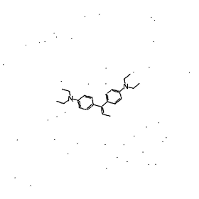 CC=C(c1ccc(N(CC)CC)cc1)c1ccc(N(CC)CC)cc1